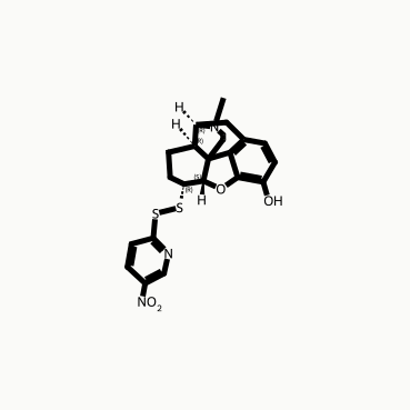 CN1CCC23c4c5ccc(O)c4O[C@@H]2[C@H](SSc2ccc([N+](=O)[O-])cn2)CC[C@H]3[C@H]1C5